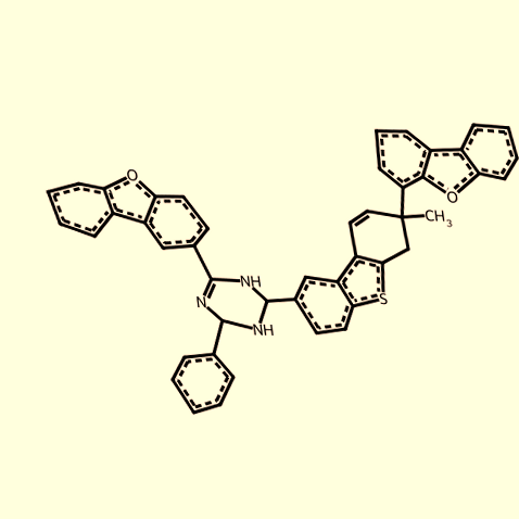 CC1(c2cccc3c2oc2ccccc23)C=Cc2c(sc3ccc(C4NC(c5ccc6oc7ccccc7c6c5)=NC(c5ccccc5)N4)cc23)C1